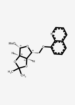 CO[C@@H]1O[C@H](COc2cccc3cccnc23)[C@H]2OC(C)(C)O[C@@H]12